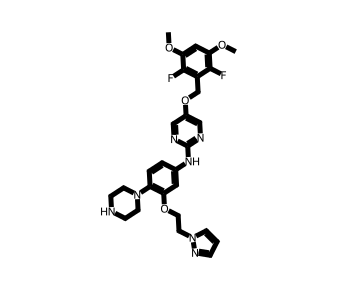 COc1cc(OC)c(F)c(COc2cnc(Nc3ccc(N4CCNCC4)c(OCCn4cccn4)c3)nc2)c1F